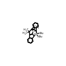 CCC[CH2][Hf]1([CH2]CCC)[CH]2C(C)=C(c3ccccc32)C(C)(C)C2=C(C)[CH]1c1ccccc12